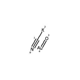 N#[C][K].[O]=[Au]